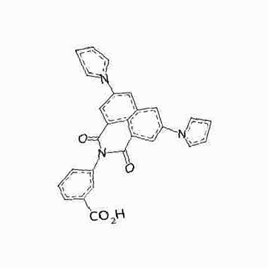 O=C(O)c1cccc(N2C(=O)c3cc(-n4cccc4)cc4cc(-n5cccc5)cc(c34)C2=O)c1